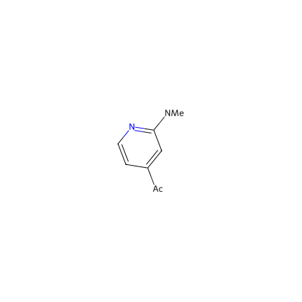 CNc1cc(C(C)=O)ccn1